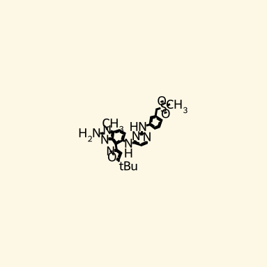 Cn1c(N)nc2c(-c3cc(C(C)(C)C)on3)c(Nc3ccnc(Nc4cccc(CS(C)(=O)=O)c4)n3)ccc21